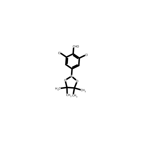 CC1(C)OB(c2cc(Cl)c(C=O)c(Cl)c2)OC1(C)C